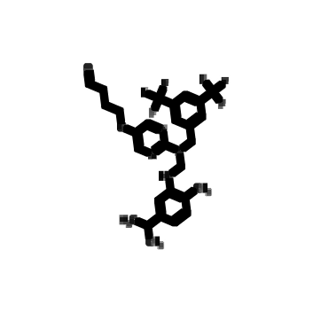 Cc1ccc(C(C)C)cc1BCN(Cc1cc(C(F)(F)F)cc(C(F)(F)F)c1)c1ncc(OCCCC=O)cn1